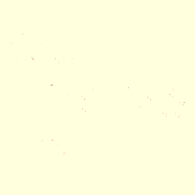 O=C(Nc1nnn[nH]1)c1ccc(Cn2nc(-c3cc(Cl)cc(Cl)c3)cc2C2CCN(Cc3ccccc3)CC2)cc1